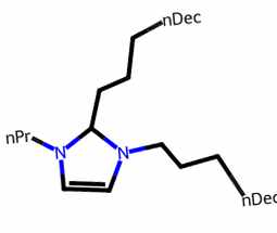 CCCCCCCCCCCCCC1N(CCC)C=CN1CCCCCCCCCCCCC